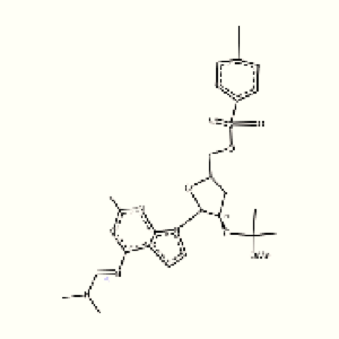 COC(C)(C)O[C@@H]1CC(COS(=O)(=O)c2ccc(C)cc2)OC1n1ccc2c(/N=C/N(C)C)nc(C)nc21